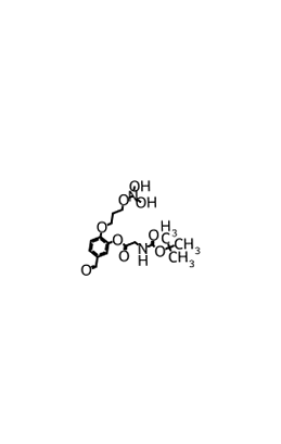 CC(C)(C)OC(=O)NCC(=O)Oc1cc(C=O)ccc1OCCCON(O)O